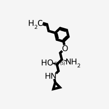 C=CCc1cccc(OC[C@H](N)[C@H](O)CNC2CC2)c1